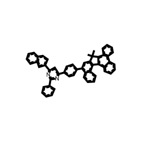 CC1(C)c2cc(-c3ccc(-c4cc(-c5ccc6ccccc6c5)nc(-c5ccccc5)n4)cc3)c3ccccc3c2-c2c1c1ccccc1c1ccccc21